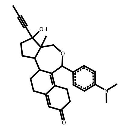 CC#CC1(O)CCC2C3CCC4=CC(=O)CCC4=C3C(c3ccc(N(C)C)cc3)OCC21C